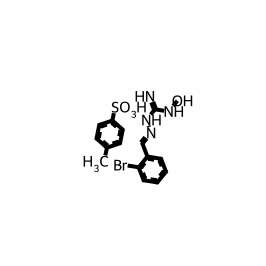 Cc1ccc(S(=O)(=O)O)cc1.N=C(NO)NN=Cc1ccccc1Br